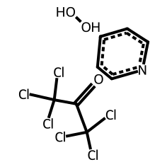 O=C(C(Cl)(Cl)Cl)C(Cl)(Cl)Cl.OO.c1ccncc1